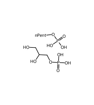 CCCCCOP(=O)(O)O.O=P(O)(O)OCC(O)CO